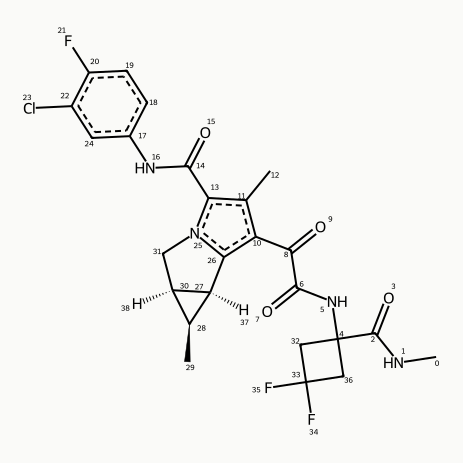 CNC(=O)C1(NC(=O)C(=O)c2c(C)c(C(=O)Nc3ccc(F)c(Cl)c3)n3c2[C@H]2[C@@H](C)[C@H]2C3)CC(F)(F)C1